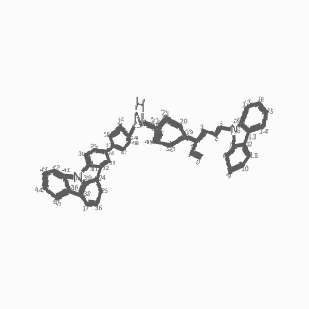 C=C/C(=C\C=C\n1c2ccccc2c2ccccc21)c1ccc(Nc2ccc(-c3ccc4c(c3)C3CC=Cc5c3n-4c3ccccc53)cc2)cc1